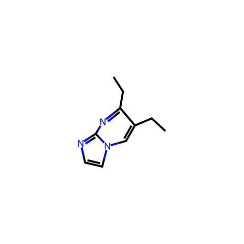 CCc1cn2ccnc2nc1CC